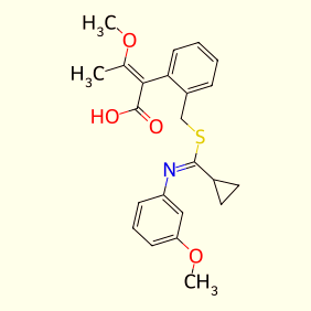 COC(C)=C(C(=O)O)c1ccccc1CSC(=Nc1cccc(OC)c1)C1CC1